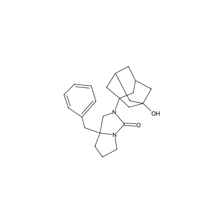 O=C1N2CCCC2(Cc2ccccc2)CN1C12CC3CC(CC(O)(C3)C1)C2